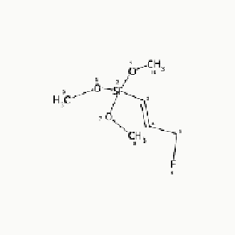 CO[Si](C=CCF)(OC)OC